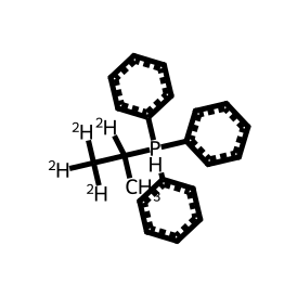 [2H]C([2H])([2H])C([2H])(C)[PH](c1ccccc1)(c1ccccc1)c1ccccc1